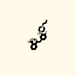 CCCN1CCP(=O)(c2cc(Cc3n[nH]c(=O)c4ccccc34)ccc2F)CC1